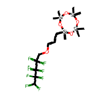 C[Si]1(C)O[Si](C)(C)O[Si](C)(CCCOCC(F)(F)C(F)(F)C(F)(F)C(F)F)O[Si](C)(C)O1